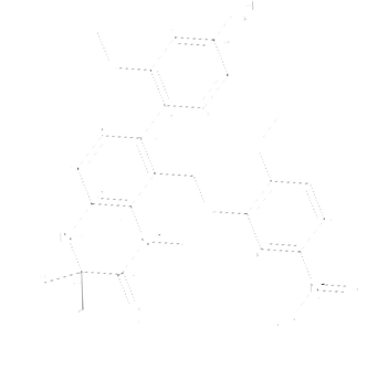 COc1ccc([N+](=O)[O-])cc1OCc1c(-c2ccc(O)cc2OC)ccc2c1N(C)C(=O)C(C)(C)N2